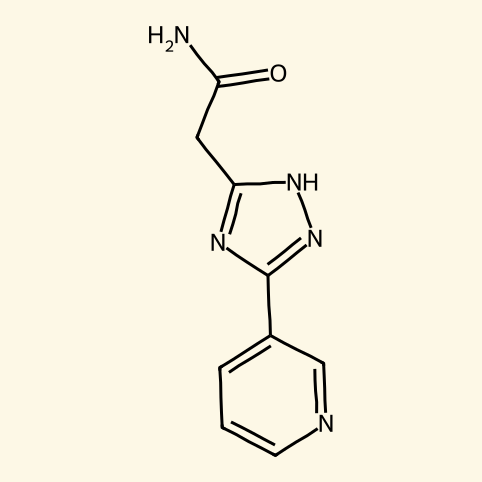 NC(=O)Cc1nc(-c2cccnc2)n[nH]1